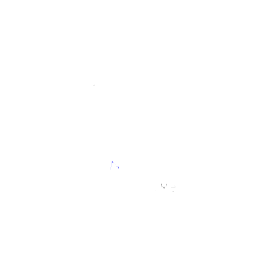 CCCC/[C]=N/OC